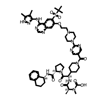 Cc1[nH]nc(Nc2ncnc3cc(OCCN4CCN(c5ncc(C(=O)N6CCC([C@H](NC(=O)[C@H](C)N(C)C(=O)O)C(=O)N7CCC[C@H]7C(=O)N[C@@H]7CCCc8ccccc87)CC6)cn5)CC4)c(S(=O)(=O)C(C)(C)C)cc23)c1C